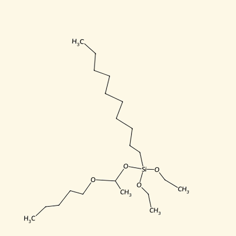 CCCCCCCCCC[Si](OCC)(OCC)OC(C)OCCCCC